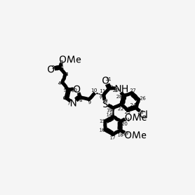 COC(=O)CCc1cnc(CC[C@H]2S[C@H](c3cccc(OC)c3OC)c3cc(Cl)ccc3NC2=O)o1